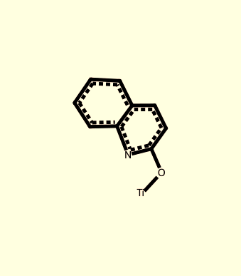 [Ti][O]c1ccc2ccccc2n1